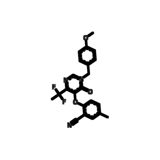 COc1ccc(Cn2cnc(C(C)(F)F)c(Oc3ccc(C)cc3C#N)c2=O)cc1